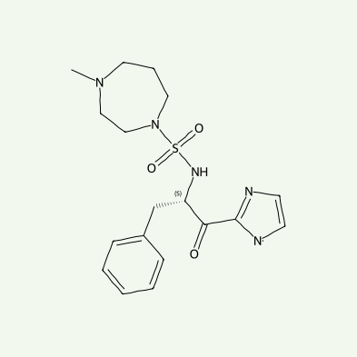 CN1CCCN(S(=O)(=O)N[C@@H](Cc2ccccc2)C(=O)C2=NC=C[N]2)CC1